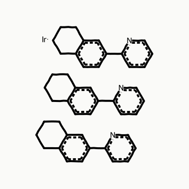 [Ir].c1ccc(-c2ccc3c(c2)CCCC3)nc1.c1ccc(-c2ccc3c(c2)CCCC3)nc1.c1ccc(-c2ccc3c(c2)CCCC3)nc1